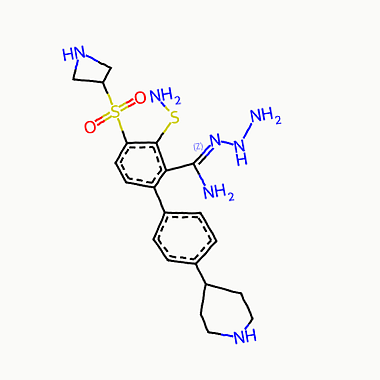 NN/N=C(\N)c1c(-c2ccc(C3CCNCC3)cc2)ccc(S(=O)(=O)C2CNC2)c1SN